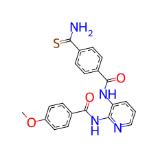 COc1ccc(C(=O)Nc2ncccc2NC(=O)c2ccc(C(N)=S)cc2)cc1